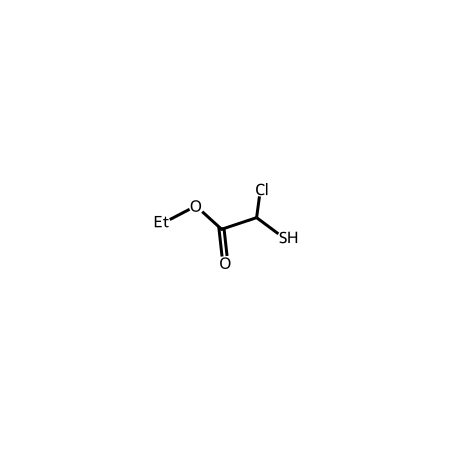 CCOC(=O)C(S)Cl